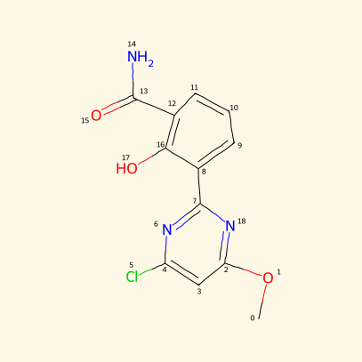 COc1cc(Cl)nc(-c2cccc(C(N)=O)c2O)n1